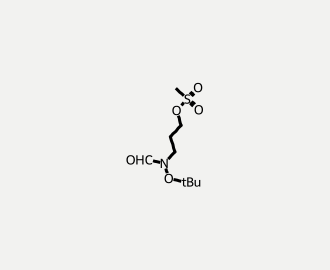 CC(C)(C)ON(C=O)CCCOS(C)(=O)=O